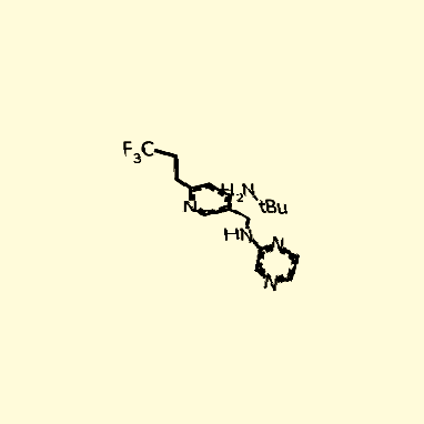 CC(C)(C)N.FC(F)(F)CCc1ccc(CNc2cnccn2)cn1